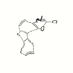 Clc1nc2ccc3sc4ccccc4c3c2o1